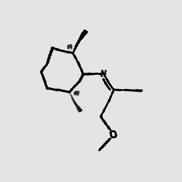 COCC(C)=NC1[C@H](C)CCC[C@H]1C